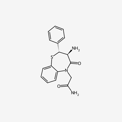 NC(=O)CN1C(=O)[C@H](N)[C@@H](c2ccccc2)Sc2ccccc21